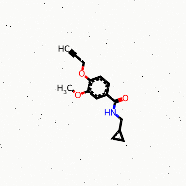 C#CCOc1ccc(C(=O)NCC2CC2)cc1OC